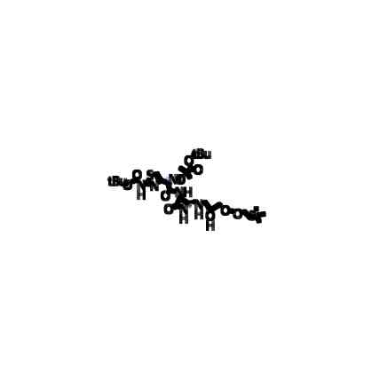 CC(C)(C)OC(=O)Nc1nc(/C(=N/OC(C)(C)C(=O)OC(C)(C)C)C(=O)N[C@@H]2C(=O)N[C@@H]2CNC[C@H](O)COCOCC[Si](C)(C)C)cs1